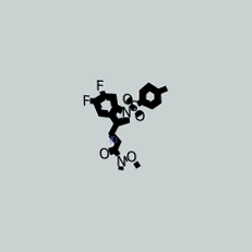 CON(C)C(=O)/C=C/c1cn(S(=O)(=O)c2ccc(C)cc2)c2cc(F)c(F)cc12